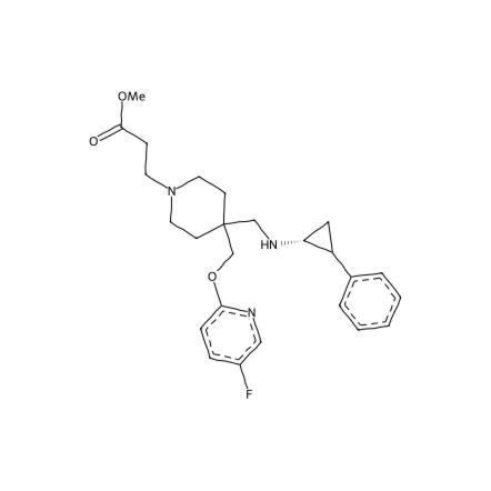 COC(=O)CCN1CCC(CN[C@@H]2CC2c2ccccc2)(COc2ccc(F)cn2)CC1